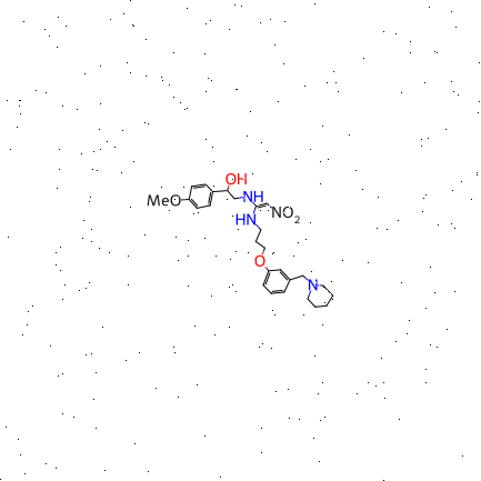 COc1ccc(C(O)CNC(=C[N+](=O)[O-])NCCCOc2cccc(CN3CCCCC3)c2)cc1